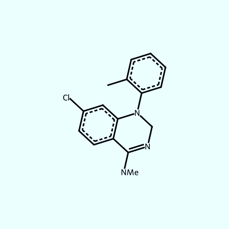 CNC1=NCN(c2ccccc2C)c2cc(Cl)ccc21